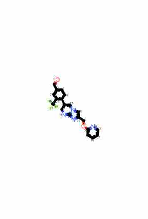 O=Cc1ccc(-c2cnc3nc(COc4ccccn4)cn3c2)c(C(F)(F)F)c1